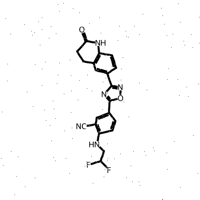 N#Cc1cc(-c2nc(-c3ccc4c(c3)CCC(=O)N4)no2)ccc1NCC(F)F